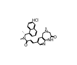 C[C@H](c1cccc2ccccc12)N(C)C(=O)C=Cc1cnc2c(c1)CN(C)CC(=O)N2.Cl